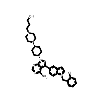 Nc1ncnc2c1c(-c1ccc3c(ccn3Cc3ccccc3Cl)c1)nn2[C@H]1CC[C@H](N2CCN(CCCO)CC2)CC1